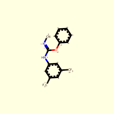 N#C/N=C(/Nc1cc(C(F)(F)F)cc(C(F)(F)F)c1)Oc1ccccc1